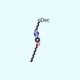 C=CCCCCCCCCCOc1ccc(N2CCN(CCCCCCCCCCCCCCCC)CC2)cc1